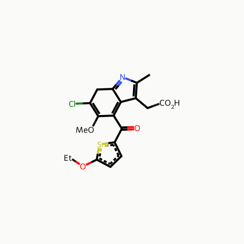 CCOc1ccc(C(=O)C2=C3C(=NC(C)=C3CC(=O)O)CC(Cl)=C2OC)s1